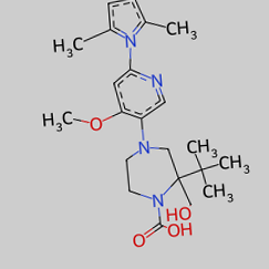 COc1cc(-n2c(C)ccc2C)ncc1N1CCN(C(=O)O)C(CO)(C(C)(C)C)C1